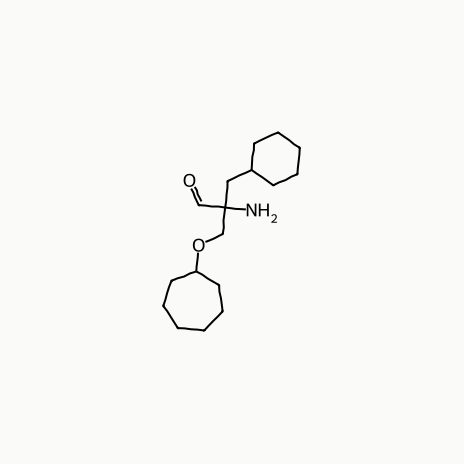 NC(C=O)(COC1CCCCCC1)CC1CCCCC1